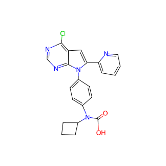 O=C(O)N(c1ccc(-n2c(-c3ccccn3)cc3c(Cl)ncnc32)cc1)C1CCC1